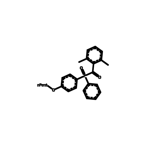 CCCCCOc1ccc(P(=O)(C(=O)c2c(C)cccc2C)c2ccccc2)cc1